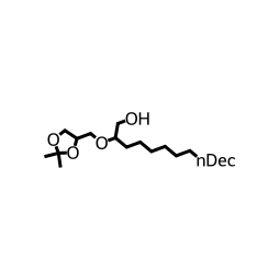 CCCCCCCCCCCCCCCCC(CO)OCC1COC(C)(C)O1